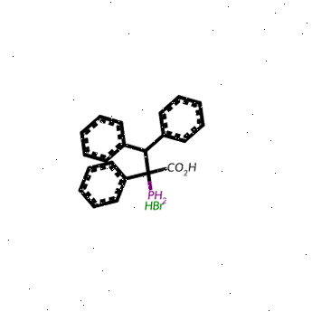 Br.O=C(O)C(P)(c1ccccc1)C(c1ccccc1)c1ccccc1